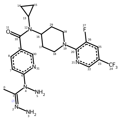 C/C(=N/N)N(N)c1ccc(C(=O)N(C2CC2)C2CCN(c3ncc(C(F)(F)F)cc3F)CC2)cn1